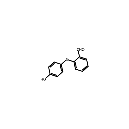 O=Cc1ccccc1Sc1ccc(O)cc1